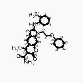 Bc1ccccc1Nc1nc2cc3c(C)c(C(N)=O)c(=O)oc3cc2n1CCOc1ccccc1